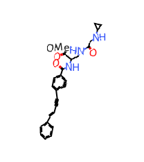 COC(=O)C(CNC(=O)CNC1CC1)NC(=O)c1ccc(C#CC=Cc2ccccc2)cc1